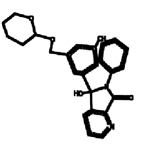 Cc1cc(COC2CCCCO2)cc(C2(O)c3cccnc3C(=O)N2c2ccccc2)c1